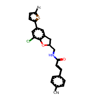 CC(=O)c1ccc(-c2cc(Cl)c3c(c2)CC(CNC(=O)C=Cc2ccc(C#N)cc2)O3)s1